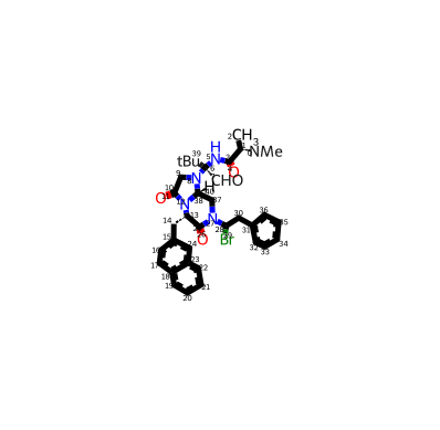 CN[C@@H](C)C(=O)N[C@@](C=O)(N1CC(=O)N2[C@@H](Cc3ccc4ccccc4c3)C(=O)N(C(Br)Cc3ccccc3)C[C@@H]21)C(C)(C)C